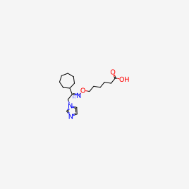 O=C(O)CCCCCO/N=C(/Cn1ccnc1)C1CCCCCC1